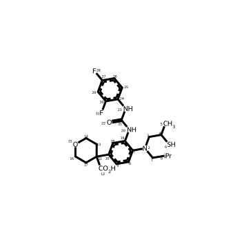 CC(C)CN(CC(C)S)c1ccc(C2(C(=O)O)CCOCC2)cc1NC(=O)Nc1ccc(F)cc1F